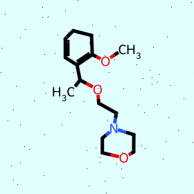 COC1=C(C(C)OCCN2CCOCC2)C=CCC1